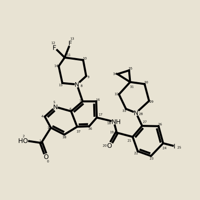 O=C(O)c1cnc2c(N3CCC(F)(F)CC3)cc(NC(=O)c3ccc(I)cc3N3CCC4(CC3)CC4)cc2c1